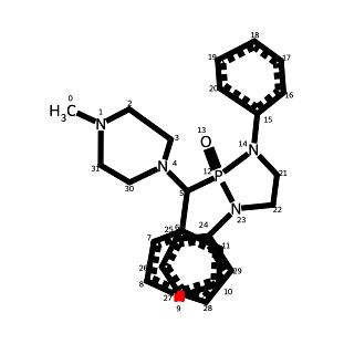 CN1CCN(C(c2ccncc2)P2(=O)N(c3ccccc3)CCN2c2ccccc2)CC1